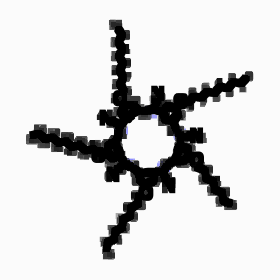 CCCCCCCCCCOc1cc2cc(c1)/C(C#N)=C/c1cc(OCCCCCCCCCC)cc(c1)/C(C#N)=C/c1cc(OCCCCCCCCCC)cc(c1)/C(C#N)=C/c1cc(OCCCCCCCCCC)cc(c1)/C(C#N)=C/c1cc(OCCCCCCCC)cc(c1)/C(C#N)=C/2